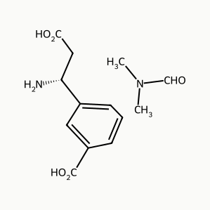 CN(C)C=O.N[C@H](CC(=O)O)c1cccc(C(=O)O)c1